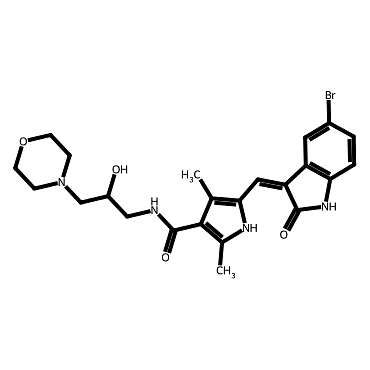 Cc1[nH]c(/C=C2\C(=O)Nc3ccc(Br)cc32)c(C)c1C(=O)NCC(O)CN1CCOCC1